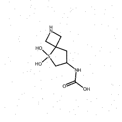 O=C(O)NC1CC2(CNC2)S(O)(O)C1